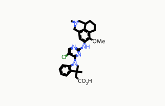 COc1c(Nc2ncc(Cl)c(N3CC(C)(CC(=O)O)c4ccccc43)n2)cc2c3c1CCCC3CN(C)C2